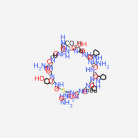 CCCC[C@H]1C(=O)N[C@@H](CN)C(=O)N[C@H](C(=O)NCC(N)=O)CSCC(=O)N[C@@H](Cc2ccc(O)cc2)C(=O)N(C)[C@@H](C)C(=O)N[C@@H](CC(N)=O)C(=O)N2CCC[C@H]2C(=O)N[C@@H](Cc2c[nH]cn2)C(=O)N[C@@H](CCC(=O)O)C(=O)N2C[C@H](O)C[C@H]2C(=O)N[C@@H](Cc2c[nH]c3ccccc23)C(=O)N[C@@H](CCN)C(=O)N[C@@H](Cc2c[nH]c3ccccc23)C(=O)N(C)[C@@H](Cc2ccccc2)C(=O)N1C